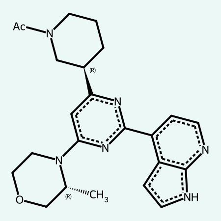 CC(=O)N1CCC[C@@H](c2cc(N3CCOC[C@H]3C)nc(-c3ccnc4[nH]ccc34)n2)C1